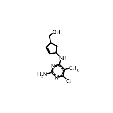 Cc1c(Cl)nc(N)nc1NC1C=C[C@@H](CO)C1